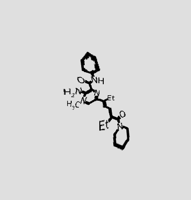 CC/C(=C\C=C(/CC)C1=NC(C(=O)Nc2ccccc2)=C(N)N(C)C1)C(=O)N1CCCCC1